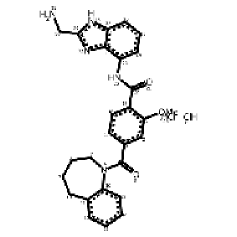 COc1cc(C(=O)N2CCCCc3ccccc32)ccc1C(=O)Nc1cccc2[nH]c(CN)nc12.Cl.Cl